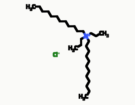 CCCCCCCCCCCC[N+](CCC)(CCC)CCCCCCCCCCCC.[Cl-]